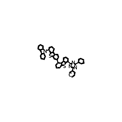 c1ccc(-c2nc(-c3ccccc3)nc(-c3cccc4c3sc3cccc(-c5ccc6c(c5)sc5c(-n7c8ccccc8c8ccccc87)cccc56)c34)n2)cc1